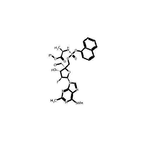 CNc1nc(C)nc2c1ncn2[C@@H]1O[C@](CCl)(CO[P@@](=O)(N[C@H](C)C(=O)OC(C)C)Oc2cccc3ccccc23)[C@@H](O)[C@@H]1F